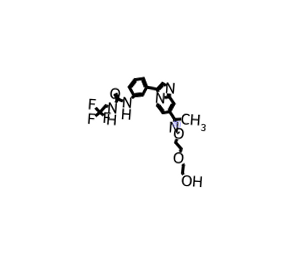 C/C(=N\OCCOCCO)c1ccn2c(-c3cccc(NC(=O)NCC(F)(F)F)c3)cnc2c1